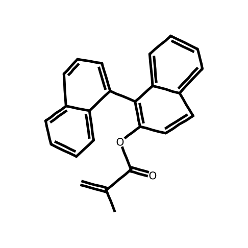 C=C(C)C(=O)Oc1ccc2ccccc2c1-c1cccc2ccccc12